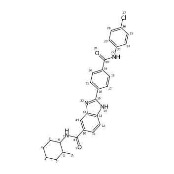 CC1CCCCC1NC(=O)c1ccc2[nH]c(-c3ccc(C(=O)Nc4ccc(Cl)cc4)cc3)nc2c1